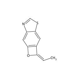 C/C=C1/Oc2cc3ncsc3cc21